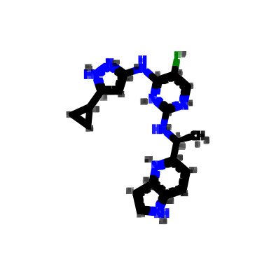 C[C@H](Nc1ncc(F)c(Nc2cc(C3CC3)[nH]n2)n1)c1ccc2[nH]ccc2n1